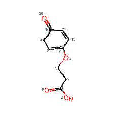 O=C(O)CCOC1=CCC(=O)C=C1